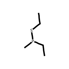 CCSP(C)CC